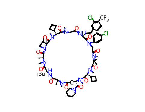 CC[C@H](C)[C@@H]1NC(=O)[C@H](C)N(C)C(=O)C[C@@H](C(=O)N2CCCCC2)N(C)C(=O)[C@H](C2CCC2)N(C)C(=O)C(C)(C)N(C)C(=O)CN(c2ccc(Cl)cc2)C(=O)[C@H](CCc2ccc(C(F)(F)F)c(Cl)c2)NC(=O)CN(C)C(=O)[C@H](C2CCC2)N(C)C(=O)[C@@H]2CCN2C(=O)[C@H](C)N(C)C1=O